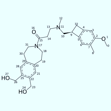 COc1cc2c(cc1C)[C@@H](CN(C)CCC(=O)N1CCc3cc(CO)c(CO)cc3CC1)C2